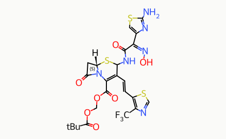 CC(C)(C)C(=O)OCOC(=O)C1=C(C=Cc2scnc2C(F)(F)F)C(NC(=O)C(=NO)c2csc(N)n2)S[C@H]2CC(=O)N12